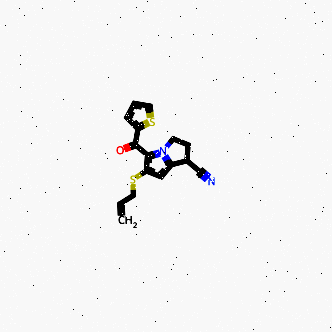 C=CCSc1cc2n(c1C(=O)c1cccs1)CCC2C#N